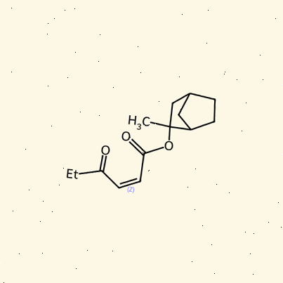 CCC(=O)/C=C\C(=O)OC1(C)CC2CCC1C2